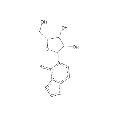 OC[C@H]1O[C@@H](n2ccc3ccsc3c2=S)[C@@H](O)[C@H]1O